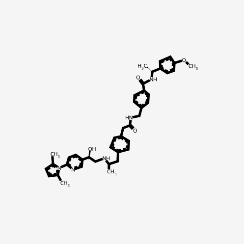 COc1ccc([C@@H](C)NC(=O)c2ccc(CNC(=O)Cc3ccc(CC(C)NC[C@H](O)c4ccc(-n5c(C)ccc5C)nc4)cc3)cc2)cc1